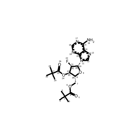 CC(C)(C)C(=O)OC[C@H]1O[C@@H](n2cnc3c(N)ncnc32)[C@H](F)[C@@H]1OC(=O)C(C)(C)C